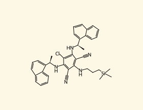 C[C@@H](Nc1c(Cl)c(N[C@H](C)c2cccc3ccccc23)c(C#N)c(NCCC[Si](C)(C)C)c1C#N)c1cccc2ccccc12